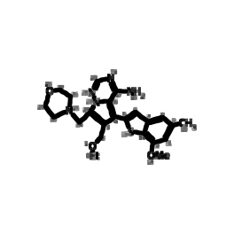 CCOCc1c(-c2cc3cc(C)cc(OC)c3s2)c2c(N)ncnn2c1CN1CCOCC1